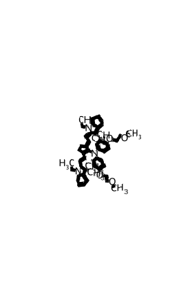 CCN1/C(=C/C=C2\CCC(/C=C/C3=[N+](CC)c4ccccc4C3(C)C)=C2N(c2ccc(OCCOC)cc2)c2ccc(OCCOC)cc2)C(C)(C)c2ccccc21